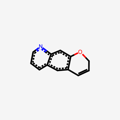 C1=Cc2cc3cccnc3cc2OC1